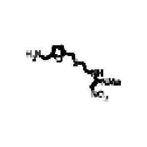 CNC(=C[N+](=O)[O-])NCCSCc1ccc(CN)o1